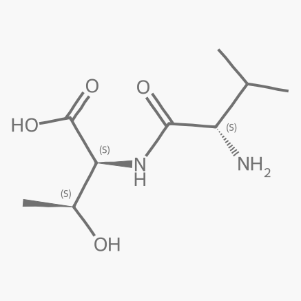 CC(C)[C@H](N)C(=O)N[C@H](C(=O)O)[C@H](C)O